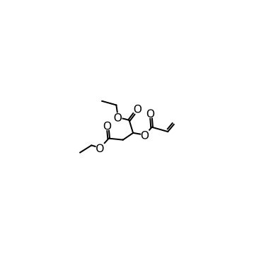 C=CC(=O)OC(CC(=O)OCC)C(=O)OCC